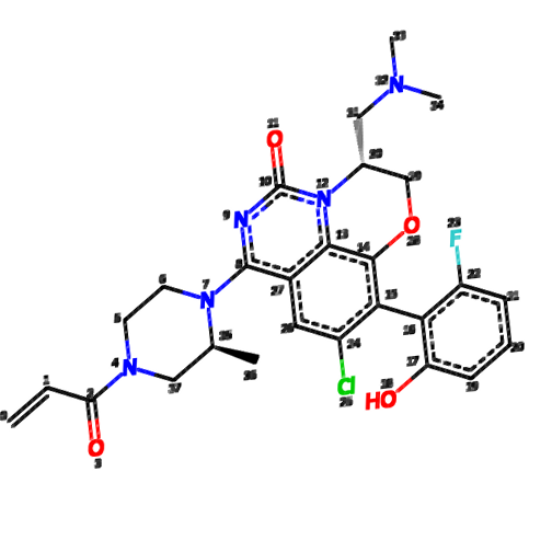 C=CC(=O)N1CCN(c2nc(=O)n3c4c(c(-c5c(O)cccc5F)c(Cl)cc24)OC[C@H]3CN(C)C)[C@@H](C)C1